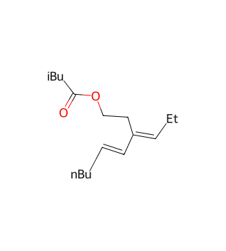 CCC=C(C=CCCCC)CCOC(=O)C(C)CC